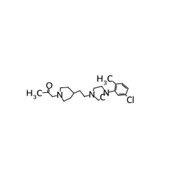 CC(=O)CN1CCC(CCN2CCN(c3cc(Cl)ccc3C)CC2)CC1